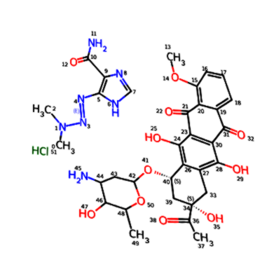 CN(C)/N=N/c1[nH]cnc1C(N)=O.COc1cccc2c1C(=O)c1c(O)c3c(c(O)c1C2=O)C[C@@](O)(C(C)=O)C[C@@H]3OC1CC(N)C(O)C(C)O1.Cl